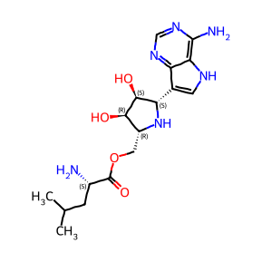 CC(C)C[C@H](N)C(=O)OC[C@H]1N[C@@H](c2c[nH]c3c(N)ncnc23)[C@H](O)[C@@H]1O